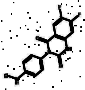 O=c1[nH]c2cc(F)c(F)cc2c(=O)n1-c1ccc(NCl)cc1